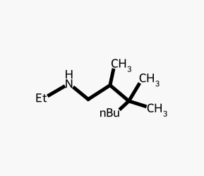 CCCCC(C)(C)C(C)CNCC